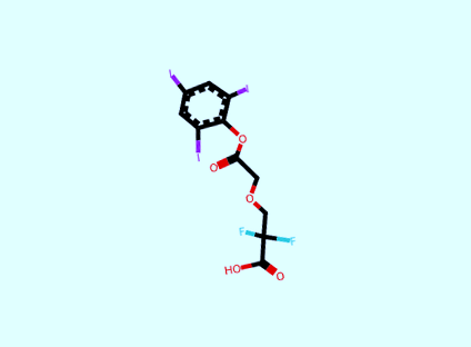 O=C(COCC(F)(F)C(=O)O)Oc1c(I)cc(I)cc1I